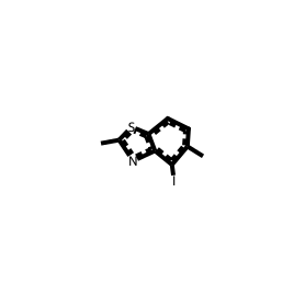 Cc1nc2c(I)c(C)ccc2s1